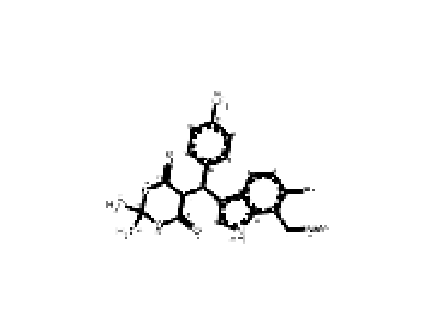 CSCc1c(F)ccc2c(C(c3ccc(C(F)(F)F)cc3)C3C(=O)OC(C)(C)OC3=O)c[nH]c12